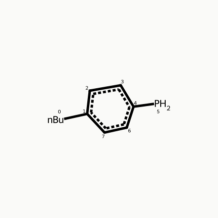 CCCCc1ccc(P)cc1